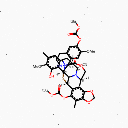 COc1cc2c(cc1OC(=O)OC(C)(C)C)CCN[C@]21CS[C@@H]2c3c(OC(=O)OC(C)(C)C)c(C)c4c(c3[C@H](COC1=O)N1C2[C@H]2c3c(cc(C)c(OC)c3O)C[C@@H]([C@@H]1C#N)N2C)OCO4